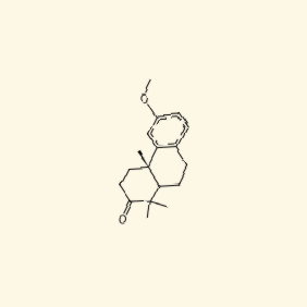 COc1ccc2c(c1)[C@@]1(C)CCC(=O)C(C)(C)C1CC2